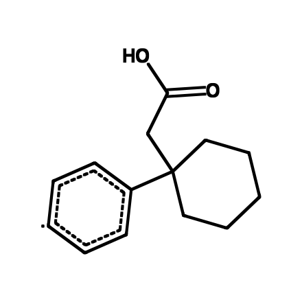 O=C(O)CC1(c2cc[c]cc2)CCCCC1